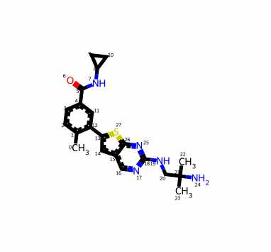 Cc1ccc(C(=O)NC2CC2)cc1-c1cc2cnc(NCC(C)(C)N)nc2s1